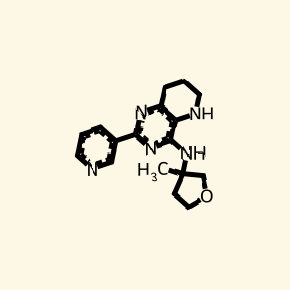 CC1(Nc2nc(-c3cccnc3)nc3c2NCCC3)CCOC1